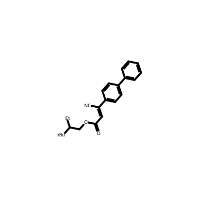 CCCCC(CC)COC(=O)C=C(C#N)c1ccc(-c2ccccc2)cc1